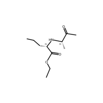 CCC[C@H](N[C@@H](C)C(C)=O)C(=O)OCC